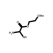 CCCC(N)C(=O)OCCOC